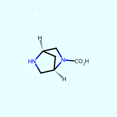 O=C(O)N1C[C@H]2C[C@@H]1CN2